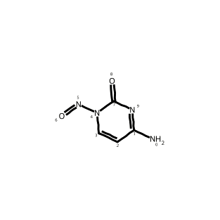 Nc1ccn(N=O)c(=O)n1